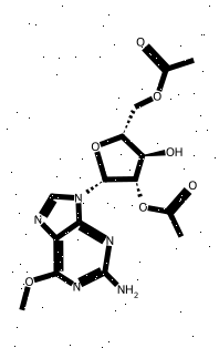 COc1nc(N)nc2c1ncn2[C@@H]1O[C@H](COC(C)=O)[C@@H](O)[C@@H]1OC(C)=O